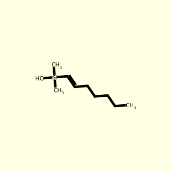 CCCCCC=C[Si](C)(C)O